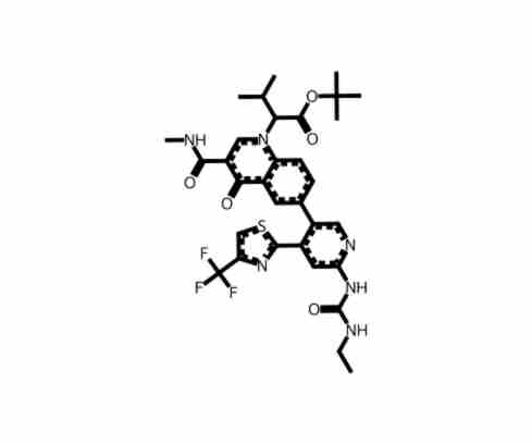 CCNC(=O)Nc1cc(-c2nc(C(F)(F)F)cs2)c(-c2ccc3c(c2)c(=O)c(C(=O)NC)cn3C(C(=O)OC(C)(C)C)C(C)C)cn1